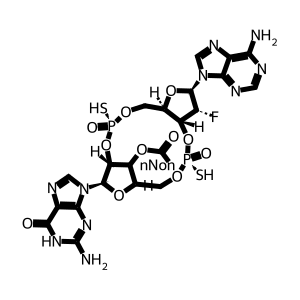 CCCCCCCCCC(=O)OC1[C@H]2O[P@](=O)(S)OC[C@H]3O[C@@H](n4cnc5c(N)ncnc54)[C@H](F)[C@@H]3O[P@](=O)(S)OC[C@H]1O[C@H]2n1cnc2c(=O)[nH]c(N)nc21